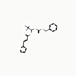 O=C(/C=C/c1cccs1)NC(NC(=S)NCc1ccccc1)C(Cl)(Cl)Cl